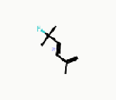 C=C(C)/C=C/C(C)(C)F